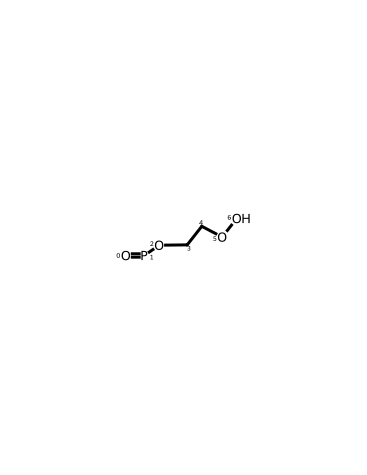 O=POCCOO